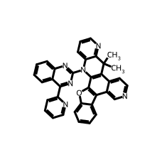 CC1(C)c2ncccc2N(c2nc(-c3ccccn3)c3ccccc3n2)c2c1c1ccncc1c1c2oc2ccccc21